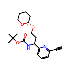 C#Cc1cccc(C(CCO[C@H]2CCCCO2)NC(=O)OC(C)(C)C)n1